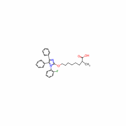 CC(CCCCCCOc1nc(-c2ccccc2)c(-c2ccccc2)n1-c1ccccc1F)C(=O)O